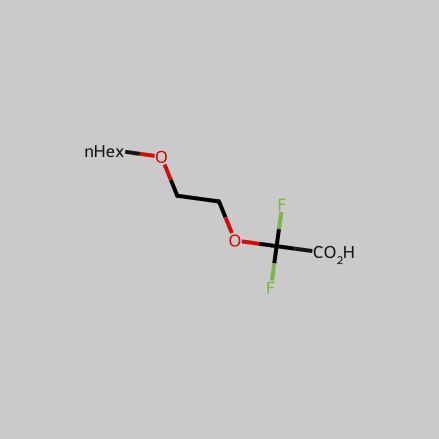 CCCCCCOCCOC(F)(F)C(=O)O